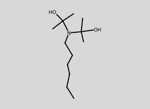 CCCCCCN(C(C)(C)O)C(C)(C)O